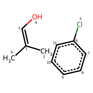 CC(C)=CO.Clc1ccccc1